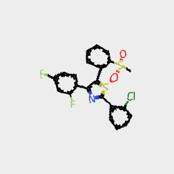 CS(=O)(=O)c1ccccc1-c1sc(-c2ccccc2Cl)nc1-c1ccc(F)cc1F